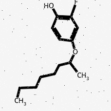 CCCCCCC(C)Oc1ccc(O)c(F)c1